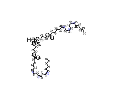 CCCCC/C=C\C/C=C\C/C=C\CCCCC(=O)OCCCOP(=O)(O)OCCCOC(=O)CCCC/C=C\C/C=C\C/C=C\CCCCC